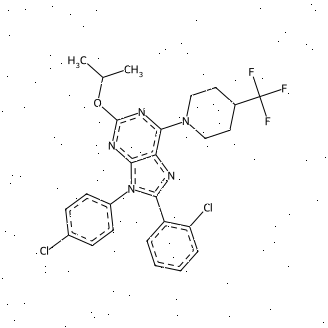 CC(C)Oc1nc(N2CCC(C(F)(F)F)CC2)c2nc(-c3ccccc3Cl)n(-c3ccc(Cl)cc3)c2n1